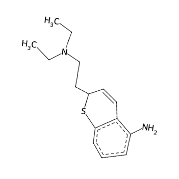 CCN(CC)CCC1C=Cc2c(N)cccc2S1